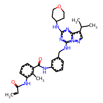 C=CC(=O)Nc1cccc(C(=O)Nc2cccc(CNc3nc(NC4CCOCC4)nc4c(C(C)C)cnn34)c2)c1C